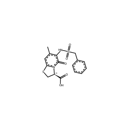 Cc1cc2n(c(=O)c1NS(=O)(=O)Cc1ccccc1)[C@@H](C(=O)O)CS2